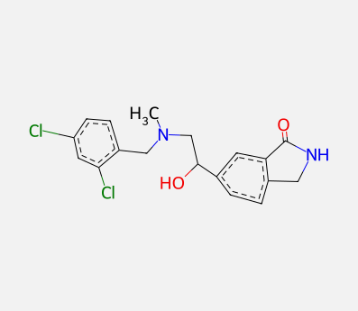 CN(Cc1ccc(Cl)cc1Cl)CC(O)c1ccc2c(c1)C(=O)NC2